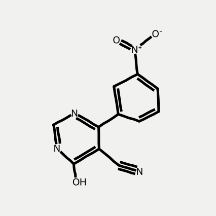 N#Cc1c(O)ncnc1-c1cccc([N+](=O)[O-])c1